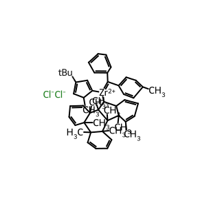 CC1=CC=CC2[CH](/[Zr+2]([C]3=CC(C(C)(C)C)=CC3C)=[C](/c3ccccc3)c3ccc(C)cc3)C3(C)C4(C)C=CC=CC4(C)C4(C)C=CC=CC4(C)C3(C)C12C.[Cl-].[Cl-]